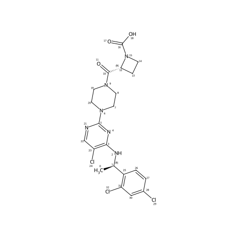 C[C@@H](Nc1nc(N2CCN(C(=O)[C@H]3CCN3C(=O)O)CC2)ncc1Cl)c1ccc(Cl)cc1Cl